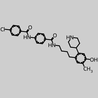 Cc1cc(CCCCNC(=O)c2ccc(NC(=O)c3ccc(Cl)cc3)cc2)c(C2CCNCC2)cc1O